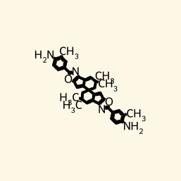 Cc1cc(-c2nc3c(o2)C=C2C3=CC(C)(C)CC23CC(C)(C)C=C2C3=Cc3oc(-c4ccc(N)c(C)c4)nc32)ccc1N